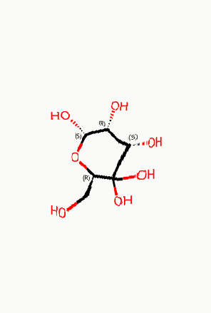 OC[C@H]1O[C@H](O)[C@H](O)[C@H](O)C1(O)O